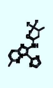 Cc1ccc2nc(NC(=O)CC(C)C(F)(F)F)c(-c3nccs3)n2n1